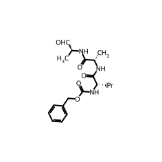 CC(C)[C@H](NC(=O)OCc1ccccc1)C(=O)N[C@@H](C)C(=O)N[C@@H](C)C=O